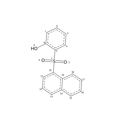 O=S(=O)(c1ccccc1O)c1cccc2ccccc12